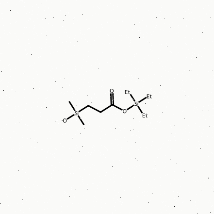 CC[Si](CC)(CC)OC(=O)CC[Si](C)(C)[O]